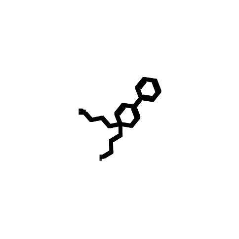 FCCCC1(CCCBr)C=CC(c2ccccc2)=CC1